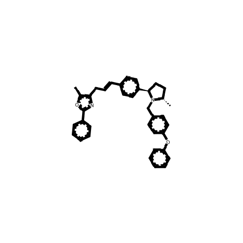 Cc1oc(-c2ccccc2)nc1C/C=C/c1ccc([C@H]2CC[C@H](C)N2Cc2ccc(Oc3ccccc3)cc2)cc1